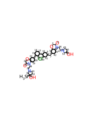 O=C1COc2cc(Cc3ccc(-c4cccc(-c5ccc6c(c5)OCC(=O)N6CCN5CC[C@@](O)([SiH3])C5)c4Cl)c(Cl)c3)ccc2N1CCN1CC[C@H](O)C1